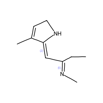 CCC(/C=C1\NCC=C1C)=N\C